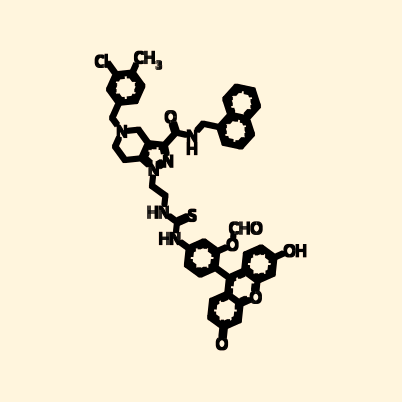 Cc1ccc(CN2CCc3c(c(C(=O)NCc4cccc5ccccc45)nn3CCNC(=S)Nc3ccc(-c4c5ccc(=O)cc-5oc5cc(O)ccc45)c(OC=O)c3)C2)cc1Cl